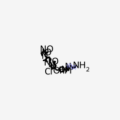 C=C(/N=C\C(=C/N)CCC)N1CCC(Oc2cc(=O)n(-c3ccc(N4CCC(N=O)C4=O)c(C)n3)cc2Cl)CC1